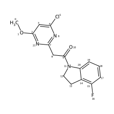 COc1cc(Cl)nc(CC(=O)N2CCc3c(F)cccc32)n1